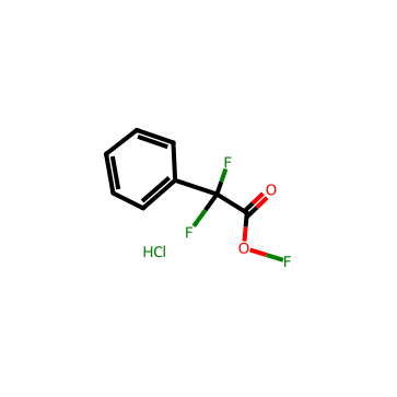 Cl.O=C(OF)C(F)(F)c1ccccc1